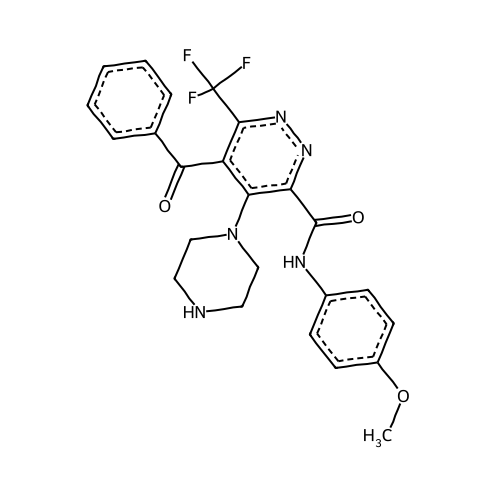 COc1ccc(NC(=O)c2nnc(C(F)(F)F)c(C(=O)c3ccccc3)c2N2CCNCC2)cc1